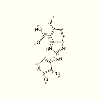 CSc1ccc2nc(Nc3cccc(Cl)c3Cl)[nH]c2c1C(=O)O